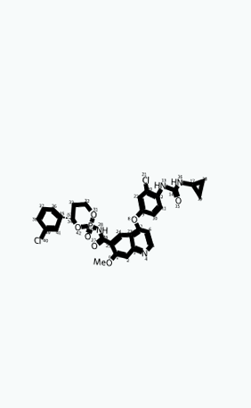 COc1cc2nccc(Oc3ccc(NC(=O)NC4CC4)c(Cl)c3)c2cc1C(=O)NP1(=O)OCC[C@@H](c2cccc(Cl)c2)O1